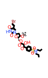 CCCN(CCC)S(=O)(=O)c1ccc(C(=O)C(O)C(=O)OC[C@@H]2O[C@H](n3cc(/C=C/Br)c(=O)[nH]c3=O)CC2O[Si](C)(C)C)cc1